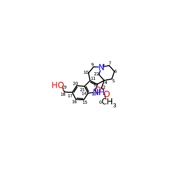 COC(=O)C12CCCN(CCc3c1[nH]c1ccc(CO)cc31)C2